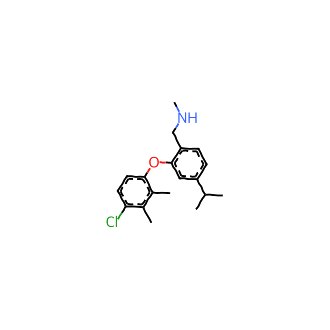 CNCc1ccc(C(C)C)cc1Oc1ccc(Cl)c(C)c1C